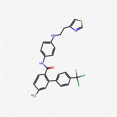 Cc1ccc(C(=O)Nc2ccc(NCCc3cscn3)cc2)c(-c2ccc(C(F)(F)F)cc2)c1